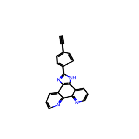 C#Cc1ccc(-c2nc3c4cccnc4c4ncccc4c3[nH]2)cc1